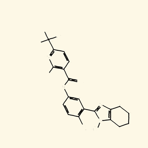 Cc1nc(C(F)(F)F)ccc1C(=O)Nc1ccc(Cl)c(-c2nc3c(n2C)CCCC3)c1